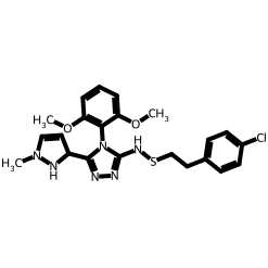 COc1cccc(OC)c1-n1c(NSCCc2ccc(Cl)cc2)nnc1C1C=CN(C)N1